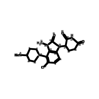 CNC1CCN(c2c(Cl)ccc3c2n(C)c(=O)n3C2CCC(=O)NC2=O)CC1